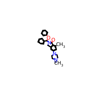 Cc1cc(N2CCN(C)CC2)cc2c1C(=O)N(C(Oc1ccccc1)c1ccccc1)C2